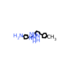 CC1=CCC(C2=CC=CC(NC(=N)NC3C=CC(N)CC3)N2)CC1